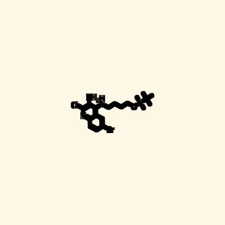 CC(C)(C)[Si](C)(C)OCCCCNc1c(N)c(Cl)nc2ccc(Br)cc12